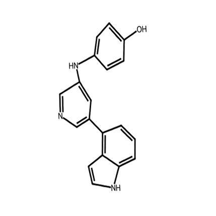 Oc1ccc(Nc2cncc(-c3cccc4[nH]ccc34)c2)cc1